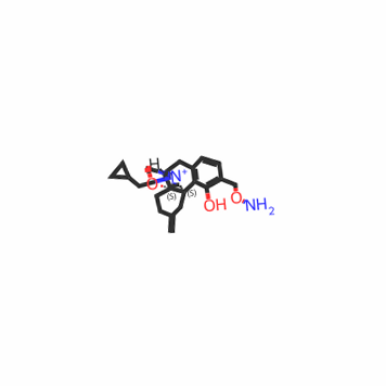 C=C1CC[C@@]2(OC)[C@H]3Cc4ccc(CON)c(O)c4[C@@]2(CC[N+]3(C)CC2CC2)C1